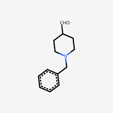 O=[C]C1CCN(Cc2ccccc2)CC1